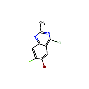 Cc1nc(Cl)c2cc(Br)c(F)cc2n1